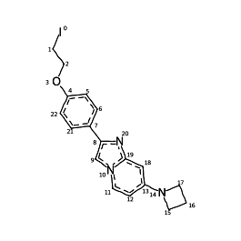 ICCOc1ccc(-c2cn3ccc(N4CCC4)cc3n2)cc1